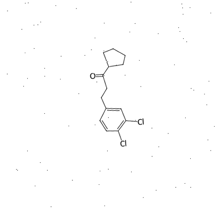 O=C(CCc1ccc(Cl)c(Cl)c1)C1CCCC1